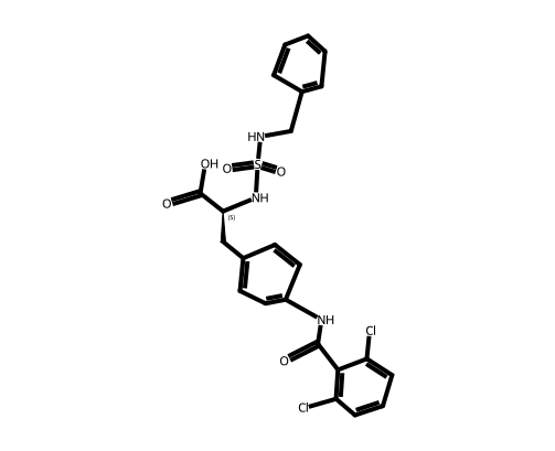 O=C(Nc1ccc(C[C@H](NS(=O)(=O)NCc2ccccc2)C(=O)O)cc1)c1c(Cl)cccc1Cl